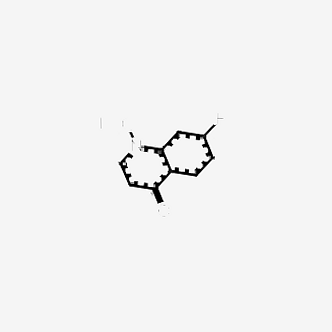 Cn1ccc(=O)c2ccc(F)cc21